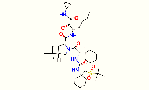 CCCC[C@H](NC(=O)[C@@H]1C2CC(C)(C)[C@H]2CN1C(=O)[C@@H](NC(=O)NC1(CS(=O)(=O)C(C)(C)C)CCCCC1)C1(C)CCCCC1)C(=O)C(=O)NC1CC1